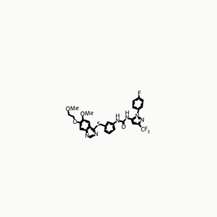 COCCOc1cc2ncnc(Sc3cccc(NC(=O)Nc4cc(C(F)(F)F)nn4-c4ccc(F)cc4)c3)c2cc1OC